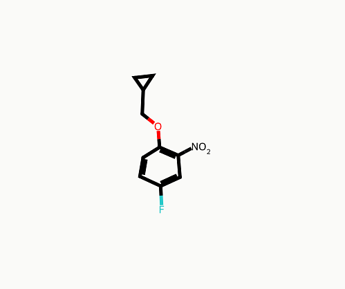 O=[N+]([O-])c1cc(F)ccc1OCC1CC1